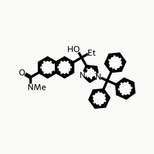 CCC(O)(c1ccc2cc(C(=O)NC)ccc2c1)c1cn(C(c2ccccc2)(c2ccccc2)c2ccccc2)cn1